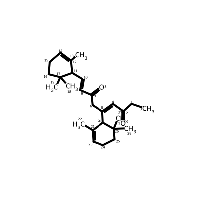 CCC(=O)C=C(CC(=O)C=CC1C(C)=CCCC1(C)C)C1C(C)=CCCC1(C)C